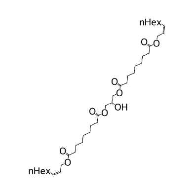 CCCCCC/C=C\COC(=O)CCCCCCCC(=O)OCC(O)COC(=O)CCCCCCCC(=O)OC/C=C\CCCCCC